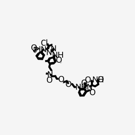 COc1cc(CCN(C)C(=O)CCOCCOCCNc2cccc3c2C(=O)N(C2CCC(=O)NC2=O)C3=O)c(C)cc1Nc1ncc(Cl)c(Nc2ccccc2P(C)(C)=O)n1